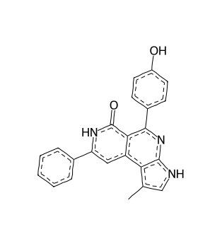 Cc1c[nH]c2nc(-c3ccc(O)cc3)c3c(=O)[nH]c(-c4ccccc4)cc3c12